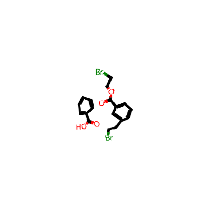 O=C(O)c1ccccc1.O=C(OCCBr)c1cccc(CCBr)c1